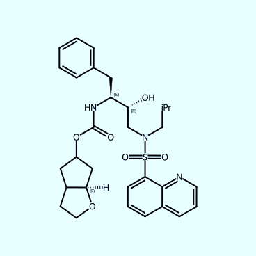 CC(C)CN(C[C@@H](O)[C@H](Cc1ccccc1)NC(=O)OC1CC2CCO[C@@H]2C1)S(=O)(=O)c1cccc2cccnc12